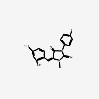 CN1C(=[Se])N(c2ccc(F)cc2)C(=O)C1=Cc1ccc(O)cc1O